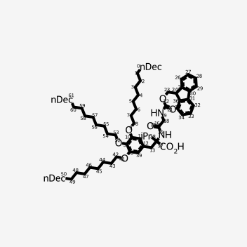 CCCCCCCCCCCCCCCCCCOc1cc(CC(NC(=O)CNC(=O)OCC2c3ccccc3-c3ccccc32)(C(=O)O)C(C)C)cc(OCCCCCCCCCCCCCCCCCC)c1OCCCCCCCCCCCCCCCCCC